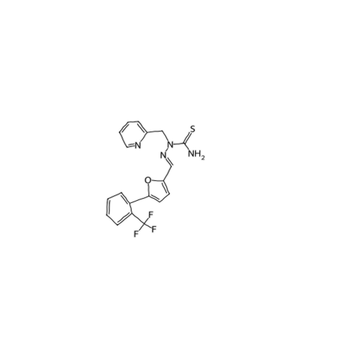 NC(=S)N(Cc1ccccn1)N=Cc1ccc(-c2ccccc2C(F)(F)F)o1